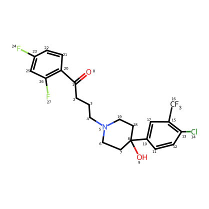 O=C(CCCN1CCC(O)(c2ccc(Cl)c(C(F)(F)F)c2)CC1)c1ccc(F)cc1F